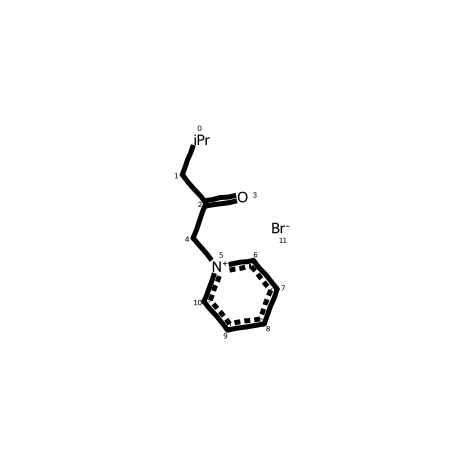 CC(C)CC(=O)C[n+]1ccccc1.[Br-]